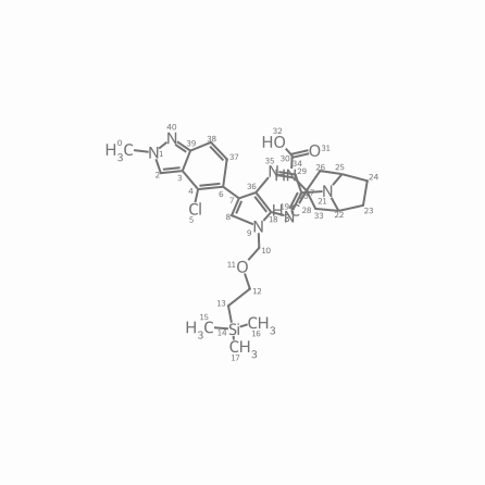 Cn1cc2c(Cl)c(-c3cn(COCC[Si](C)(C)C)c4nc(N5C6CCC5CC(C)(NC(=O)O)C6)cnc34)ccc2n1